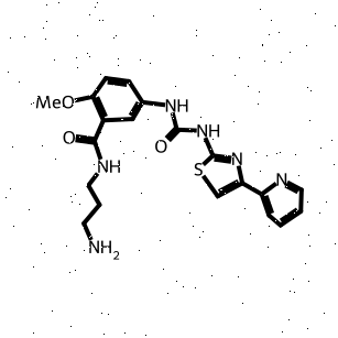 COc1ccc(NC(=O)Nc2nc(-c3ccccn3)cs2)cc1C(=O)NCCCN